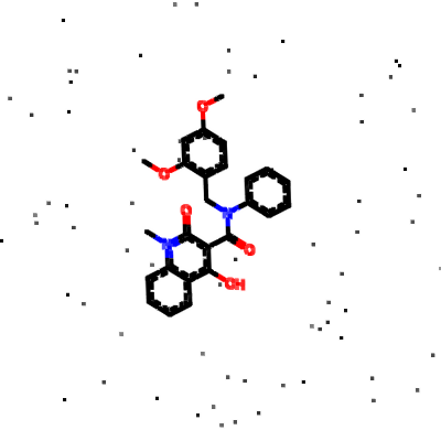 COc1ccc(CN(C(=O)c2c(O)c3ccccc3n(C)c2=O)c2ccccc2)c(OC)c1